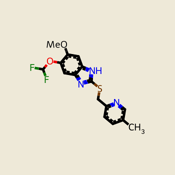 COc1cc2[nH]c(SCc3ccc(C)cn3)nc2cc1OC(F)F